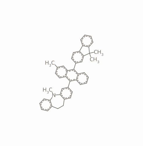 Cc1ccc2c(-c3ccc4c(c3)N(C)c3ccccc3CC4)c3ccccc3c(-c3ccc4c(c3)C(C)(C)c3ccccc3-4)c2c1